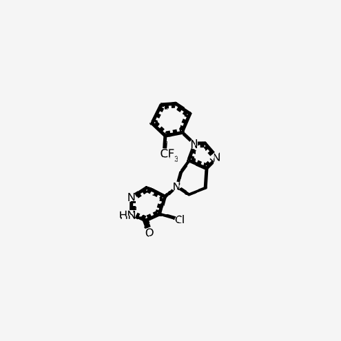 O=c1[nH]ncc(N2CCc3ncn(-c4ccccc4C(F)(F)F)c3C2)c1Cl